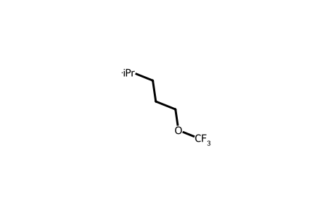 C[C](C)CCCOC(F)(F)F